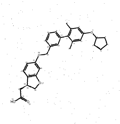 Cc1cc(OC2CCCC2)cc(C)c1-c1cccc(COc2ccc3c(c2)OC[C@H]3CC(=O)O)c1